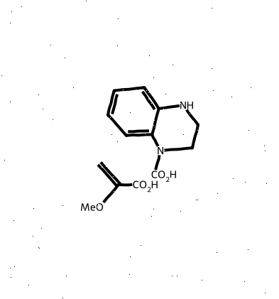 C=C(OC)C(=O)O.O=C(O)N1CCNc2ccccc21